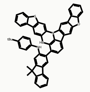 CC(C)(C)c1ccc(Nc2cc3c(cc2-c2ccc4c5cc6oc7ccccc7c6cc5n5c4c2Bc2cc4c(cc2-5)sc2ccccc24)-c2ccccc2C3(C)C)cc1